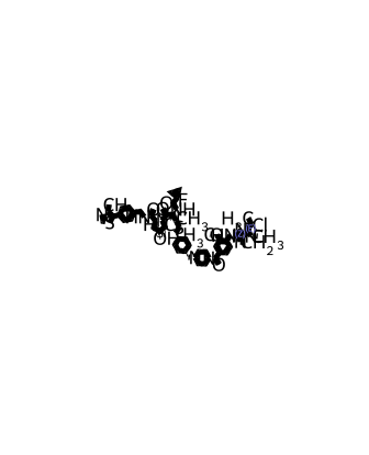 C=N/C(=N\C(NC)=C(/C)Cl)Nc1ccc(C(=O)N2CCN(C[C@H]3CC[C@@H](CSC(C)(C)[C@H](NC(=O)C4(F)CC4)C(=O)N4C[C@H](O)CC4C(=O)NCc4ccc(-c5scnc5C)cc4)CC3)CC2)cc1OC